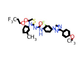 Cc1ccc(OCCC(F)(F)F)c(N2C(=O)CS/C2=N\C(=O)Nc2ccc(-n3cnc(-c4ccc(OC(F)(F)F)cc4)n3)cc2F)c1